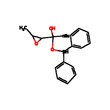 CCCCC(O)(O[SiH](c1ccccc1)c1ccccc1)C1OC1C